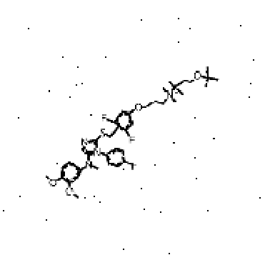 COc1ccc(N(C)c2cnc(SCc3c(F)cc(OCCC[N+](C)(C)C(C)(C)CCOC(C)(C)C)cc3F)n2-c2ccc(F)cc2)cc1OC